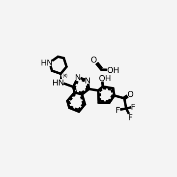 O=C(c1ccc(-c2nnc(N[C@@H]3CCCNC3)c3ccccc23)c(O)c1)C(F)(F)F.O=CO